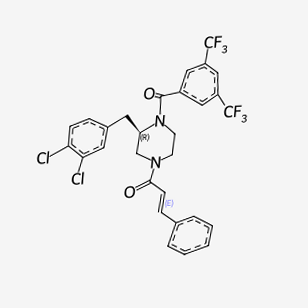 O=C(/C=C/c1ccccc1)N1CCN(C(=O)c2cc(C(F)(F)F)cc(C(F)(F)F)c2)[C@H](Cc2ccc(Cl)c(Cl)c2)C1